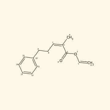 C=COC(=O)C(C)=CCCc1ccccc1